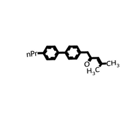 CCCc1ccc(-c2ccc(CC(=O)C=C(C)C)cc2)cc1